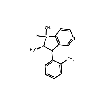 Cc1ccccc1N1c2cnccc2[N+](C)(I)[C@@H]1C